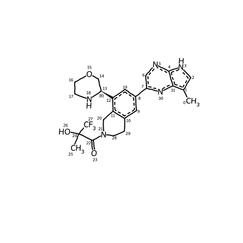 Cc1c[nH]c2ncc(-c3cc4c(c([C@@H]5COCCN5)c3)CN(C(=O)C(C)(O)C(F)(F)F)CC4)nc12